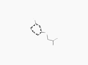 FC(F)COc1cc[c]c(Cl)c1